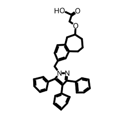 O=C(O)COC1CCCc2cc(Cn3nc(-c4ccccc4)c(-c4ccccc4)c3-c3ccccc3)ccc2C1